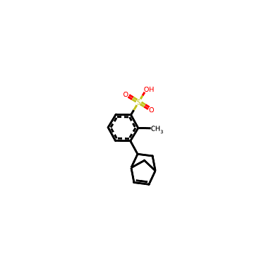 Cc1c(C2CC3C=CC2C3)cccc1S(=O)(=O)O